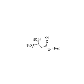 CCCCCCOC(=O)CC(C(=O)OCC)S(=O)(=O)O.[KH]